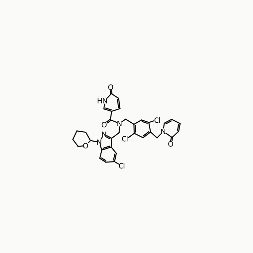 O=C(c1ccc(=O)[nH]c1)N(Cc1cc(Cl)c(Cn2ccccc2=O)cc1Cl)Cc1nn(C2CCCCO2)c2ccc(Cl)cc12